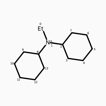 CC[N+](C1CCCCC1)C1CCCCC1